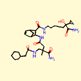 CC(CNC(=O)[CH]C1CCCCC1)(CC(=O)NC1C2C=CC(C2)C1C(=O)NCCCCC(O)(C(N)=O)C1CC1)C(N)=O